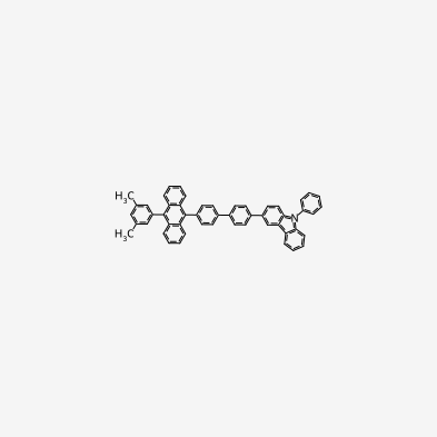 Cc1cc(C)cc(-c2c3ccccc3c(-c3ccc(-c4ccc(-c5ccc6c(c5)c5ccccc5n6-c5ccccc5)cc4)cc3)c3ccccc23)c1